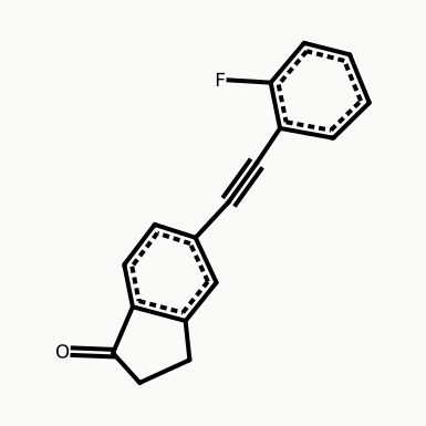 O=C1CCc2cc(C#Cc3ccccc3F)ccc21